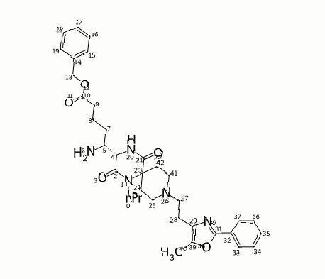 CCCN1C(=O)[C@H](C(N)CCCC(=O)OCc2ccccc2)NC(=O)C12CCN(CCc1nc(-c3ccccc3)oc1C)CC2